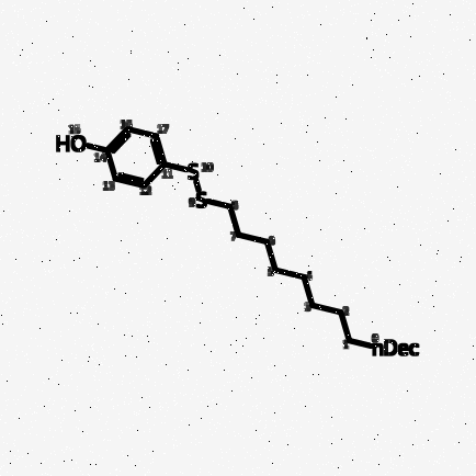 CCCCCCCCCCCCCCCCCCSSc1ccc(O)cc1